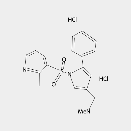 CNCc1cc(-c2ccccc2)n(S(=O)(=O)c2cccnc2C)c1.Cl.Cl